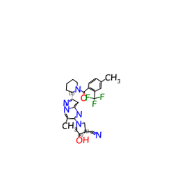 Cc1ccc(C(=O)N2CCCC[C@H]2c2cc3nc(N4C[C@@H](C#N)[C@@H](O)C4)c(C)cn3n2)c(C(F)(F)F)c1